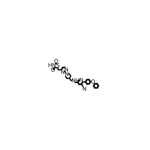 N#Cc1cc(CNCC2CCN(c3nccc(/C=C4\SC(=O)NC4=O)n3)CC2)cnc1-c1ccc(Oc2ccccc2)cc1